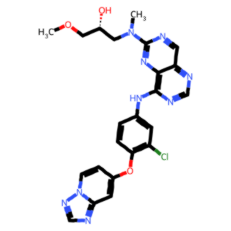 COC[C@H](O)CN(C)c1ncc2ncnc(Nc3ccc(Oc4ccn5ncnc5c4)c(Cl)c3)c2n1